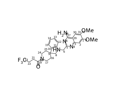 COc1cc2nc(CNCC3(c4ccccc4)CCN(C(=O)CCC(F)(F)F)CC3)nc(N)c2cc1OC